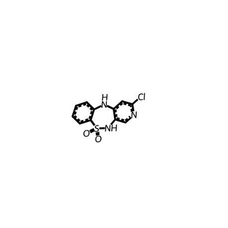 O=S1(=O)Nc2cnc(Cl)cc2Nc2ccccc21